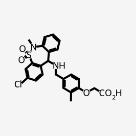 Cc1cc(CNC2c3ccccc3N(C)S(=O)(=O)c3cc(Cl)ccc32)ccc1OCC(=O)O